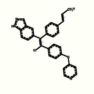 CC/C(=C(/c1ccc(/C=C/C(=O)O)cc1)c1ccc2[nH]ncc2c1)c1ccc(Oc2ccncc2)cc1